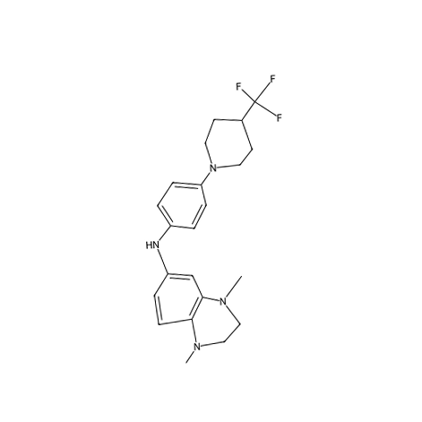 CN1CCN(C)c2cc(Nc3ccc(N4CCC(C(F)(F)F)CC4)cc3)ccc21